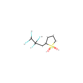 O=S1(=O)CCCC1CC(F)(F)C(F)F